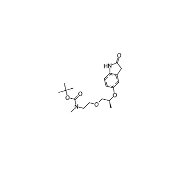 C[C@@H](COCCN(C)C(=O)OC(C)(C)C)Oc1ccc2c(c1)CC(=O)N2